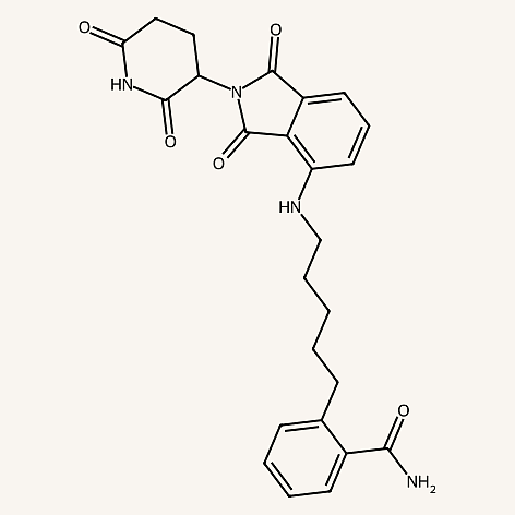 NC(=O)c1ccccc1CCCCCNc1cccc2c1C(=O)N(C1CCC(=O)NC1=O)C2=O